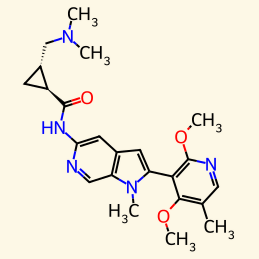 COc1ncc(C)c(OC)c1-c1cc2cc(NC(=O)[C@H]3C[C@@H]3CN(C)C)ncc2n1C